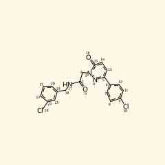 O=C(Cn1nc(-c2ccc(Cl)cc2)ccc1=O)NCc1cccc(Cl)c1